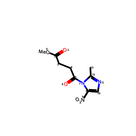 COC(=O)CCC(=O)n1c([N+](=O)[O-])cnc1C